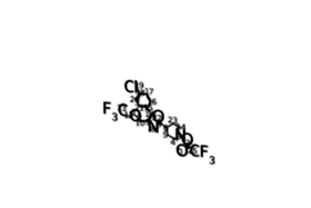 O=C(ON1CCC(c2nc(COCC(F)(F)F)c(-c3ccc(Cl)cc3)o2)CC1)C(F)(F)F